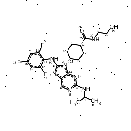 CC(C)Nc1ncc2nc(Nc3c(F)cc(F)cc3F)n([C@H]3CC[C@@H](C(=O)NCCO)CC3)c2n1